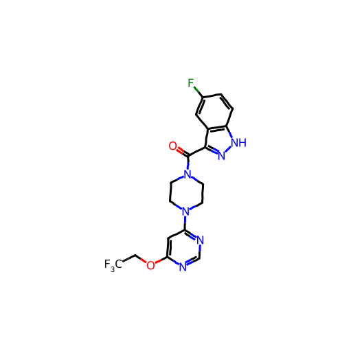 O=C(c1n[nH]c2ccc(F)cc12)N1CCN(c2cc(OCC(F)(F)F)ncn2)CC1